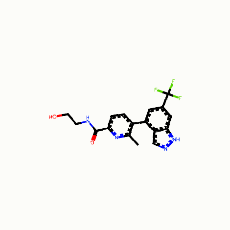 Cc1nc(C(=O)NCCO)ccc1-c1cc(C(F)(F)F)cc2[nH]ncc12